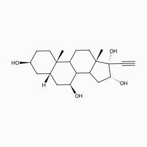 C#C[C@@]1(O)[C@H](O)CC2C3C(CC[C@@]21C)[C@@]1(C)CC[C@H](O)C[C@H]1C[C@@H]3O